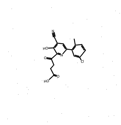 Cc1ccc(Cl)cc1-c1cc(C#N)c(O)c(C(=O)CCC(=O)O)n1